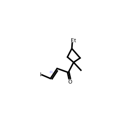 CCC1CC(C)(C(=O)/C=C/I)C1